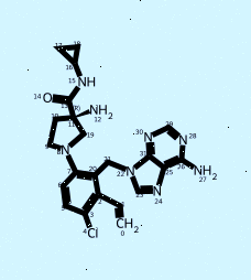 C=Cc1c(Cl)ccc(N2CC[C@](N)(C(=O)NC3CC3)C2)c1Cn1cnc2c(N)ncnc21